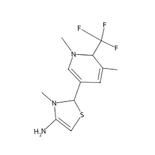 CC1=CC(C2SC=C(N)N2C)=CN(C)C1C(F)(F)F